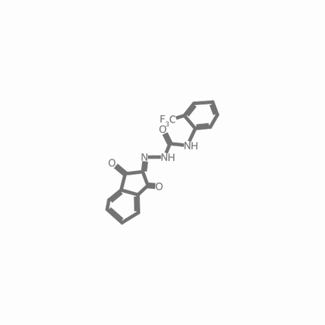 O=C(NN=c1c(=O)c2ccccc2c1=O)Nc1ccccc1C(F)(F)F